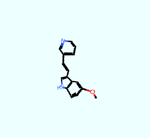 COc1ccc2[nH]cc(/C=C/c3cccnc3)c2c1